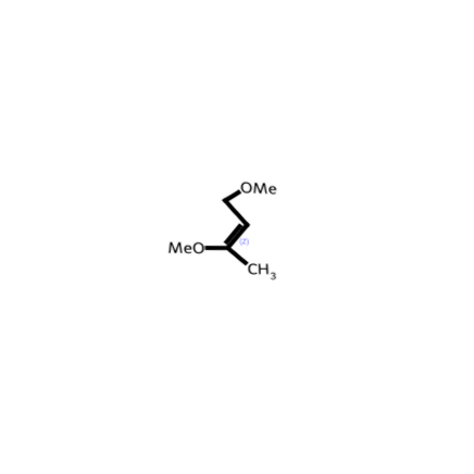 COC/C=C(/C)OC